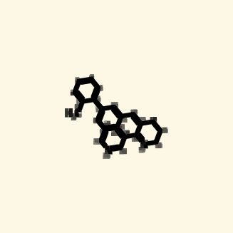 Cc1ccccc1-c1cccc(/C=C2/CCCN=C2c2cccnc2)c1